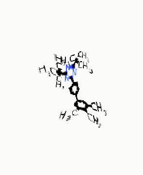 Cc1cc(-c2ccc(-c3nc(C(C)(C)C)nc(C(C)(C)C)n3)cc2)cc(C)c1C